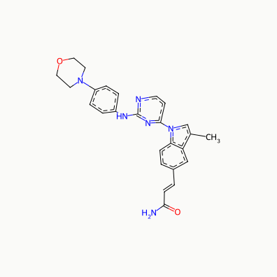 Cc1cn(-c2ccnc(Nc3ccc(N4CCOCC4)cc3)n2)c2ccc(C=CC(N)=O)cc12